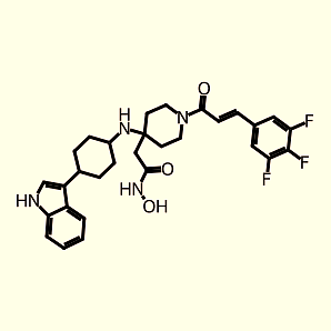 O=C(CC1(NC2CCC(c3c[nH]c4ccccc34)CC2)CCN(C(=O)C=Cc2cc(F)c(F)c(F)c2)CC1)NO